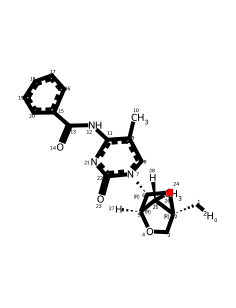 [2H]C[C@@]12CO[C@@H]([C@H](n3cc(C)c(NC(=O)c4ccccc4)nc3=O)O1)[C@@H]2C